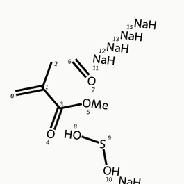 C=C(C)C(=O)OC.C=O.OSO.[NaH].[NaH].[NaH].[NaH].[NaH]